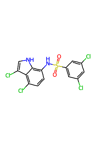 O=S(=O)(Nc1ccc(Cl)c2c(Cl)c[nH]c12)c1cc(Cl)cc(Cl)c1